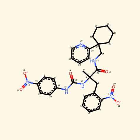 CC(Cc1ccccc1[N+](=O)[O-])(NC(=O)Nc1ccc([N+](=O)[O-])cc1)C(=O)NCC1(c2ccccn2)CCCCC1